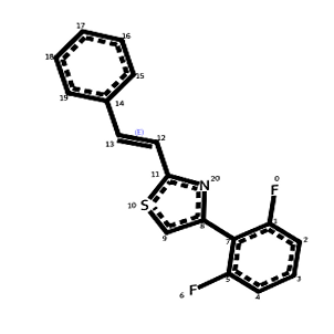 Fc1cccc(F)c1-c1csc(/C=C/c2ccccc2)n1